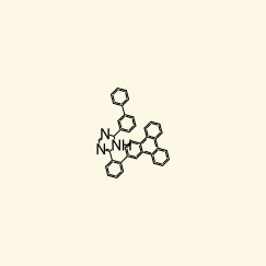 C1=NC(c2cccc(-c3ccccc3)c2)NC(c2ccccc2-c2ccc3c4ccccc4c4ccccc4c3c2)=N1